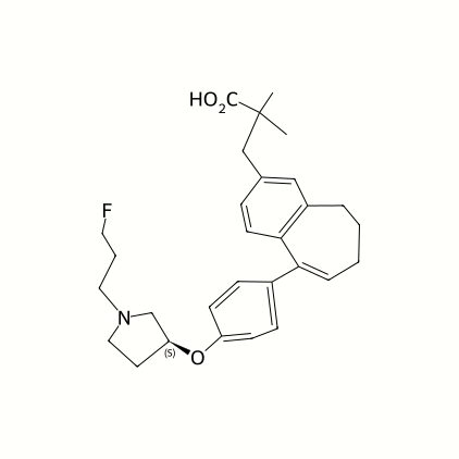 CC(C)(Cc1ccc2c(c1)CCCC=C2c1ccc(O[C@H]2CCN(CCCF)C2)cc1)C(=O)O